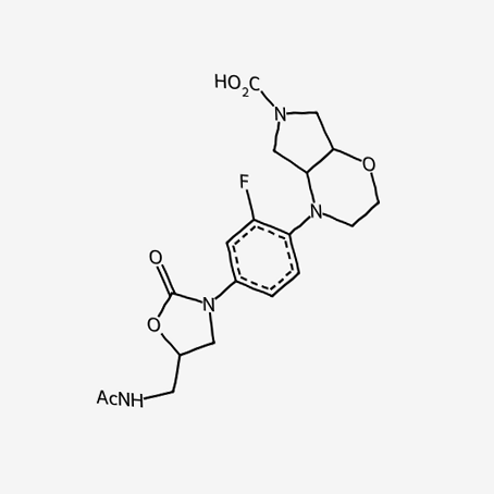 CC(=O)NCC1CN(c2ccc(N3CCOC4CN(C(=O)O)CC43)c(F)c2)C(=O)O1